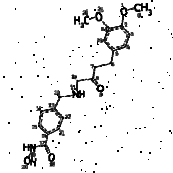 COc1ccc(CCC(=O)CNCc2ccc(C(=O)NO)cc2)cc1OC